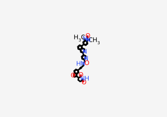 Cn1c(=O)n(C)c2cc(-c3cccc4cc(-c5ccc(C(=O)NCC#Cc6ccc7occ(C8CCC(=O)NC8=O)c7c6)nc5)ncc34)ccc21